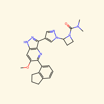 COc1cc2[nH]nc(-c3cnn(C4CCN4C(=O)N(C)C)c3)c2nc1-c1cccc2c1CCC2